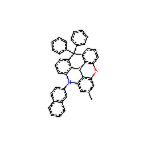 Cc1cc2c3c(c1)N(c1ccc4ccccc4c1)c1cccc4c1B3c1c(cccc1C4(c1ccccc1)c1ccccc1)O2